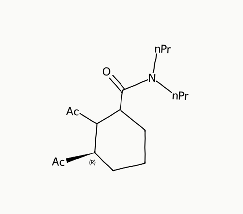 CCCN(CCC)C(=O)C1CCC[C@@H](C(C)=O)C1C(C)=O